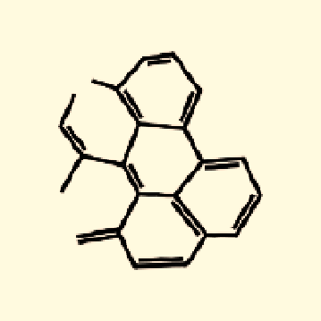 C=c1ccc2cccc3c4cccc(C)c4c(/C(C)=C\C)c1c23